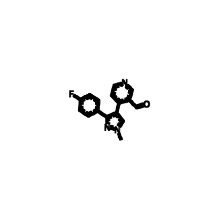 Cn1cc(-c2ccncc2C=O)c(-c2ccc(F)cc2)n1